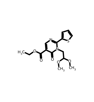 CCOC(=O)c1cnc(-c2cccs2)n(CC(OC)OC)c1=O